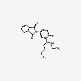 CCCCN(PCC)c1cc(N2C(=O)C3C=CCCC3C2=O)ccc1Cl